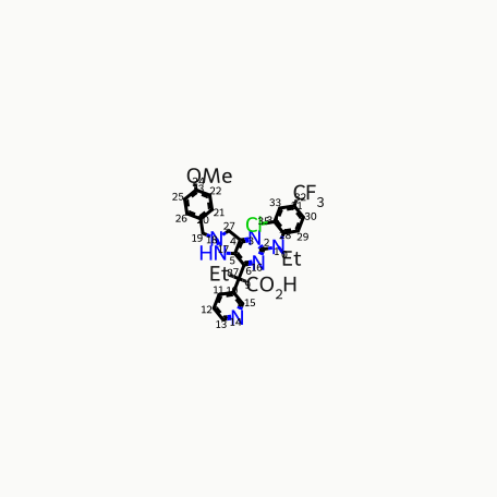 CCN(c1nc2c(c(C(CC)(C(=O)O)c3cccnc3)n1)NN(Cc1ccc(OC)cc1)C2)c1ccc(C(F)(F)F)cc1Cl